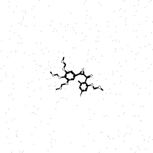 COCOc1cc(C2OC2C(=O)c2c(C)cc(F)cc2OCOC)cc(OCOC)c1OCOC